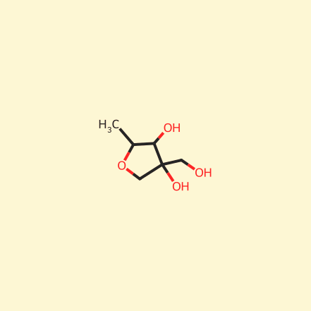 CC1OCC(O)(CO)C1O